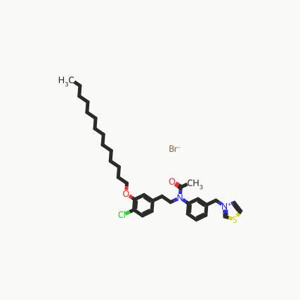 CCCCCCCCCCCCCCOc1cc(CCN(C(C)=O)c2cccc(C[n+]3ccsc3)c2)ccc1Cl.[Br-]